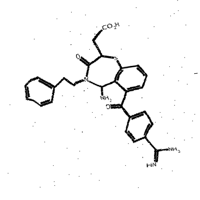 N=C(N)c1ccc(C(=O)c2cccc3c2C(N)N(CCc2ccccc2)C(=O)C(CC(=O)O)S3)cc1